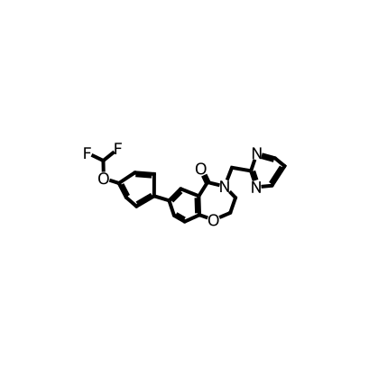 O=C1c2cc(-c3ccc(OC(F)F)cc3)ccc2OCCN1Cc1ncccn1